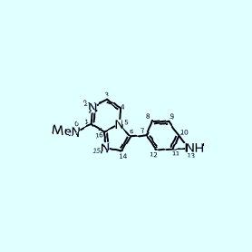 CNc1nccn2c(-c3ccc4c(c3)N4)cnc12